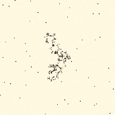 CCc1cc2ccc(C(C)(C#N)CN3CCN(c4ccccn4)CC3)cc2[nH]c1=O